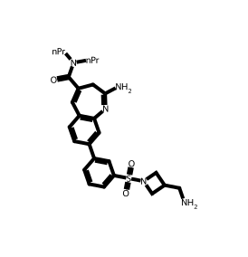 CCCN(CCC)C(=O)C1=Cc2ccc(-c3cccc(S(=O)(=O)N4CC(CN)C4)c3)cc2N=C(N)C1